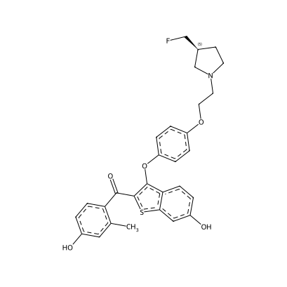 Cc1cc(O)ccc1C(=O)c1sc2cc(O)ccc2c1Oc1ccc(OCCN2CC[C@H](CF)C2)cc1